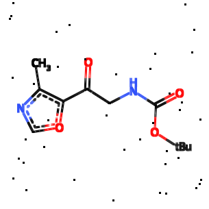 Cc1ncoc1C(=O)CNC(=O)OC(C)(C)C